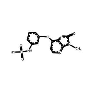 CC(C)S(=O)(=O)Nc1cccc(Oc2ccnc3c2oc(=O)n3C)c1